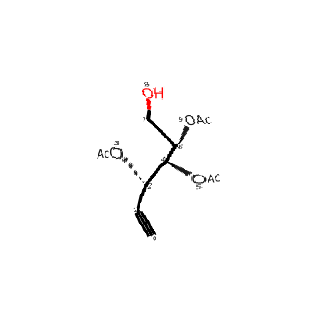 C#C[C@H](OC(C)=O)[C@H](OC(C)=O)[C@@H](CO)OC(C)=O